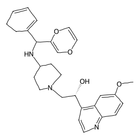 COc1ccc2nccc([C@@H](O)CN3CCC(NC(C4=CC=CCC4)C4=COC=CO4)CC3)c2c1